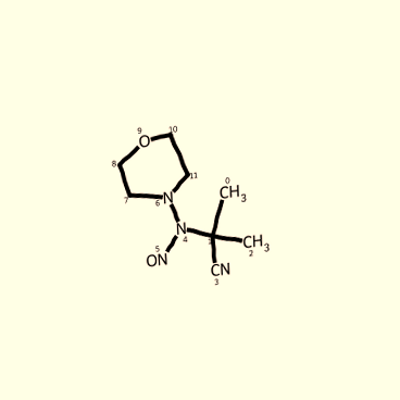 CC(C)(C#N)N(N=O)N1CCOCC1